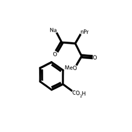 CCCC([C](=O)[Na])C(=O)OC.O=C(O)c1ccccc1